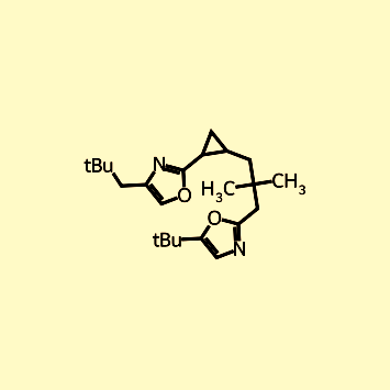 CC(C)(C)Cc1coc(C2CC2CC(C)(C)Cc2ncc(C(C)(C)C)o2)n1